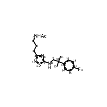 CC(=O)NCCCc1nsc(NCC(C)(C)c2ccc(F)cc2)n1